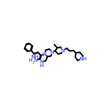 CC1CN(CCCC2CCNCC2)CCC1N1CCN2C(/C=C(\N)c3ccccc3)=C(N)NCC2C1